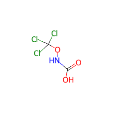 O=C(O)NOC(Cl)(Cl)Cl